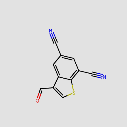 N#Cc1cc(C#N)c2scc(C=O)c2c1